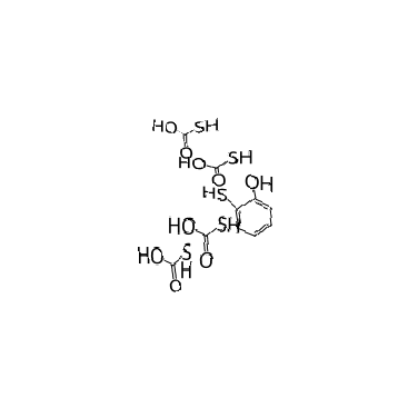 O=C(O)S.O=C(O)S.O=C(O)S.O=C(O)S.Oc1ccccc1S